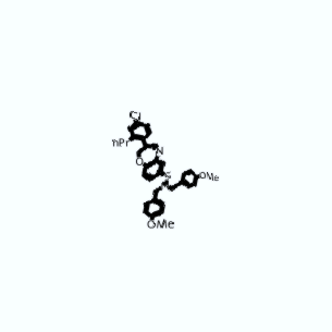 CCCc1cc(Cl)ccc1C1C=Nc2cc(SN(Cc3ccc(OC)cc3)Cc3ccc(OC)cc3)ccc2OC1